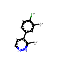 CC(=O)c1cc(-c2ccnnc2C(C)C)ccc1F